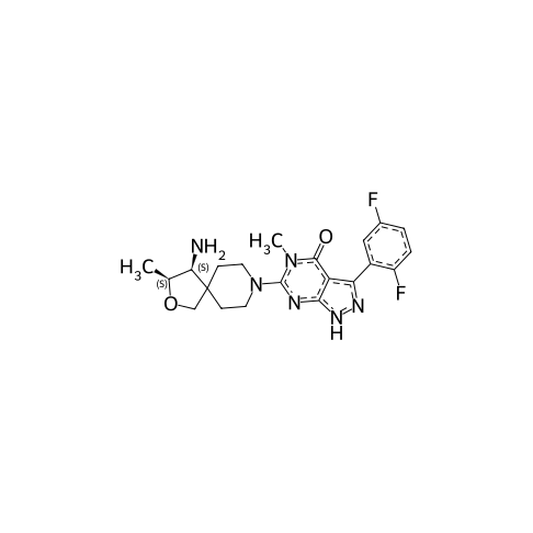 C[C@@H]1OCC2(CCN(c3nc4[nH]nc(-c5cc(F)ccc5F)c4c(=O)n3C)CC2)[C@@H]1N